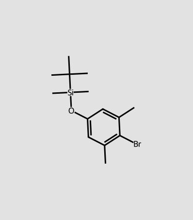 Cc1cc(O[Si](C)(C)C(C)(C)C)cc(C)c1Br